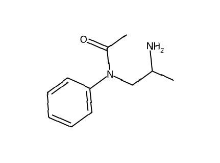 CC(=O)N(CC(C)N)c1ccccc1